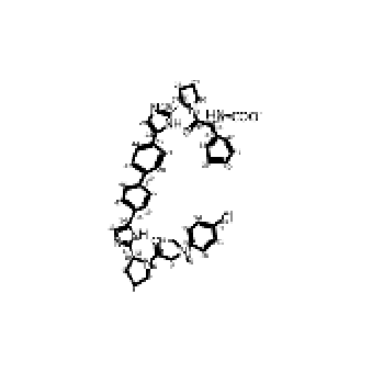 C[N+](C)(CC(=O)N1CCC[C@H]1c1ncc(-c2ccc(-c3ccc(-c4cnc([C@@H]5CCCN5C(=O)[C@H](NC(=O)[O-])c5ccccc5)[nH]4)cc3)cc2)[nH]1)c1ccc(Cl)cc1